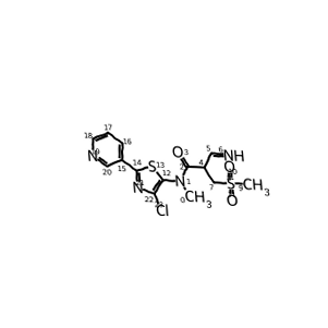 CN(C(=O)C(C=N)CS(C)(=O)=O)c1sc(-c2cccnc2)nc1Cl